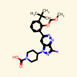 COCOc1c(-c2cc3c(nn2)c(I)nn3C2CCN(C(=O)O)CC2)cccc1C(C)(C)C